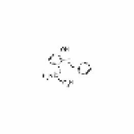 N[C@@H](Cc1cccc(O)c1OCc1ccccc1)C(=O)O